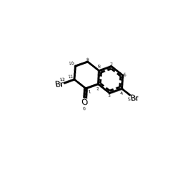 O=C1c2cc(Br)ccc2CCC1Br